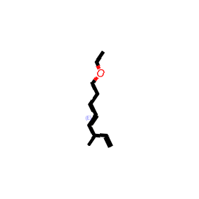 C=CC(C)/C=C/CCCOCC